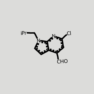 CC(C)Cn1ccc2c(C=O)cc(Cl)nc21